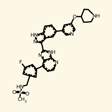 CS(=O)(=O)NCc1cc(F)cc(-c2ccnc3[nH]c(-c4n[nH]c5ccc(-c6cncc(OC7CCNCC7)c6)cc45)nc23)c1